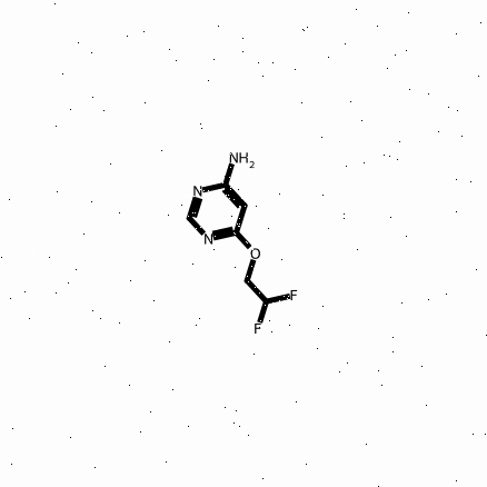 Nc1cc(OCC(F)F)ncn1